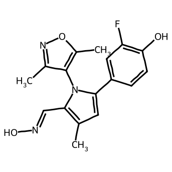 Cc1cc(-c2ccc(O)c(F)c2)n(-c2c(C)noc2C)c1C=NO